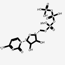 COP(=O)(OC[C@H]1O[C@@H](n2ccc(N)nc2=O)C(O)C1O)OP(=O)(O)OP(=O)(O)O